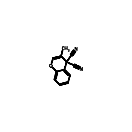 CC1=COc2ccccc2C1(C#N)C#N